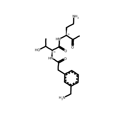 CC(=O)[C@H](CCN)NC(=O)[C@@H](NC(=O)Cc1cccc(CN)c1)C(C)O